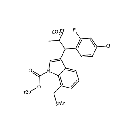 CCOC(=O)C(C)C(c1ccc(Cl)cc1F)c1cn(C(=O)OC(C)(C)C)c2c(CSC)cccc12